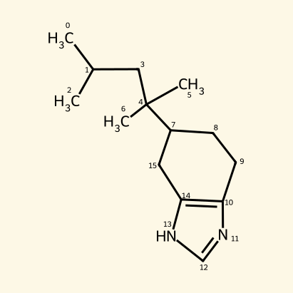 CC(C)CC(C)(C)C1CCc2nc[nH]c2C1